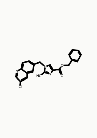 N#Cc1nc(C(=O)OCc2ccccc2)cn1Cc1ccc2ncc(Cl)cc2c1